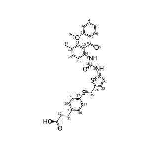 COc1ccccc1C(=O)c1cc(C)ccc1NC(=O)Nc1ncc(CSc2ccc(CCC(=O)O)cc2)s1